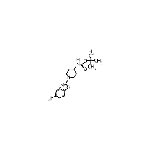 CC(C)(C)OC(=O)NC1CCN(c2nc3cc(Cl)ccc3o2)CC1